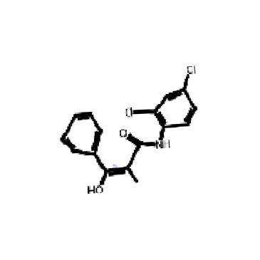 C/C(C(=O)Nc1ccc(Cl)cc1Cl)=C(\O)c1ccccc1